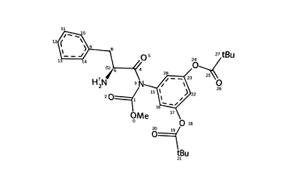 COC(=O)N(C(=O)[C@@H](N)Cc1ccccc1)c1cc(OC(=O)C(C)(C)C)cc(OC(=O)C(C)(C)C)c1